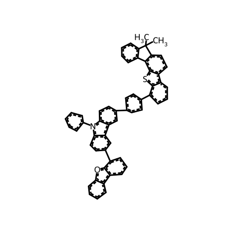 CC1(C)c2ccccc2-c2c1ccc1c2sc2c(-c3ccc(-c4ccc5c(c4)c4cc(-c6cccc7c6oc6ccccc67)ccc4n5-c4ccccc4)cc3)cccc21